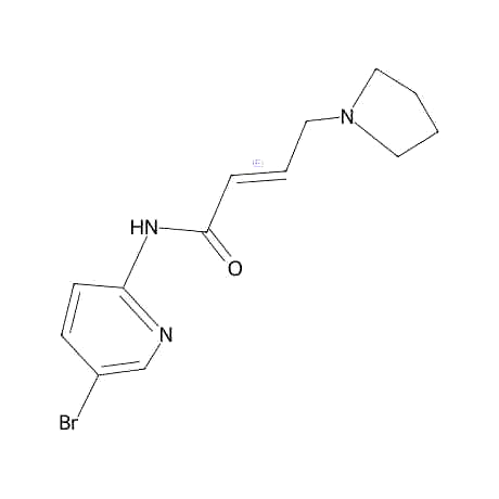 O=C(/C=C/CN1CCCC1)Nc1ccc(Br)cn1